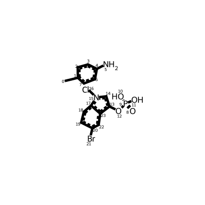 Cc1ccc(N)cc1.O=P(O)(O)Oc1cn(Cl)c2ccc(Br)cc12